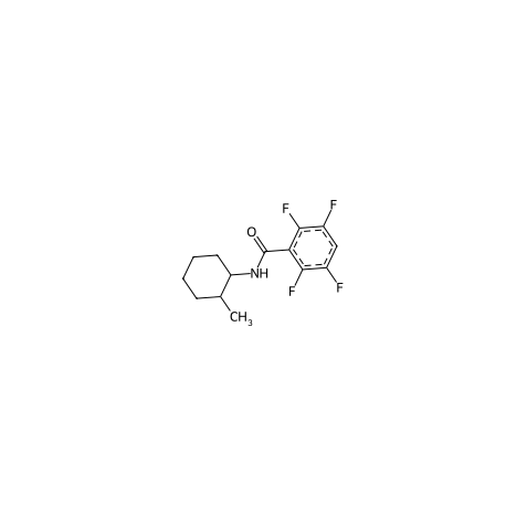 CC1CCCCC1NC(=O)c1c(F)c(F)cc(F)c1F